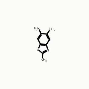 Cc1nc2cc(C)c(N)cc2s1